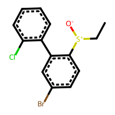 CC[S+]([O-])c1ccc(Br)cc1-c1ccccc1Cl